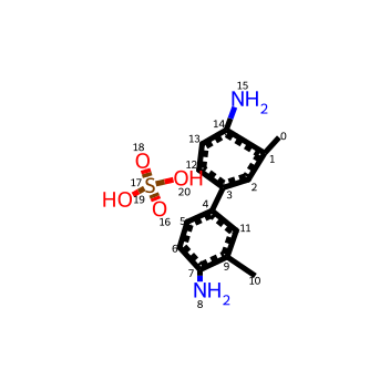 Cc1cc(-c2ccc(N)c(C)c2)ccc1N.O=S(=O)(O)O